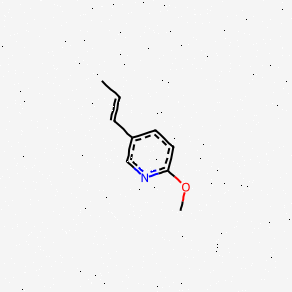 CC=Cc1ccc(OC)nc1